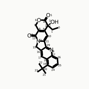 CC[C@@]1(O)C(=O)OCc2c1cc1n(c2=O)Cc2cc3c(C(C)(C)C)cccc3nc2-1